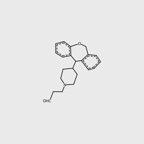 O=CCCN1CCC(C2c3ccccc3COc3ccccc32)CC1